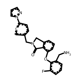 NCc1cccc(F)c1Oc1cccc2c1C(=O)N(Cc1ccc(-n3cccn3)cc1)C2